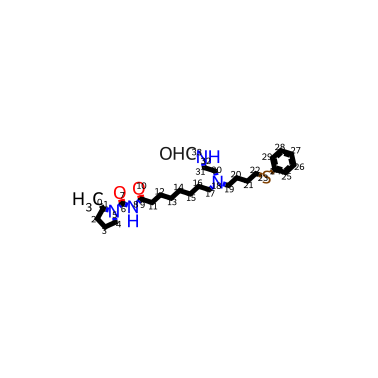 CC1CCCN1C(=O)NC(=O)CCCCCCCN(CCCCSc1ccccc1)CCNC=O